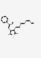 C=C\C=C/C=C(C)/C(C)=C/c1c(/C=C(\C=C)c2ccccc2)c(C)n(C)c1C